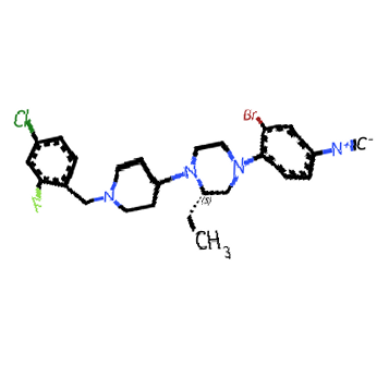 [C-]#[N+]c1ccc(N2CCN(C3CCN(Cc4ccc(Cl)cc4F)CC3)[C@@H](CC)C2)c(Br)c1